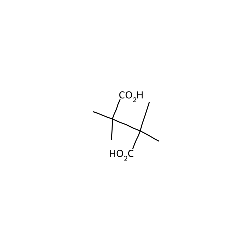 CC(C)(C(=O)O)C(C)(C)C(=O)O